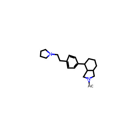 CC(=O)N1CC2CCCC(c3ccc(CCN4CCCC4)cc3)C2C1